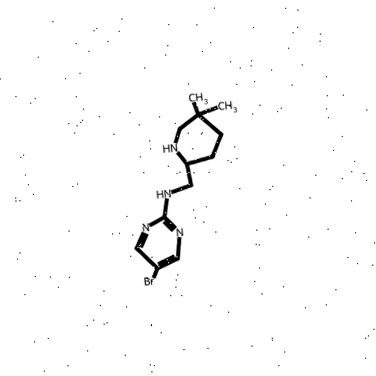 CC1(C)CCC(CNc2ncc(Br)cn2)NC1